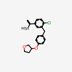 C=[C]([SnH])c1ccc(Cl)c(Cc2ccc(OC3CCOC3)cc2)c1